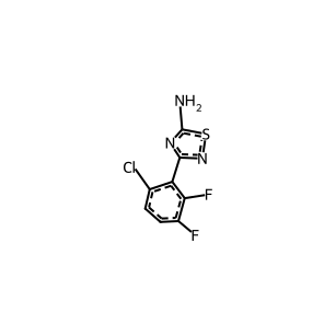 Nc1nc(-c2c(Cl)ccc(F)c2F)ns1